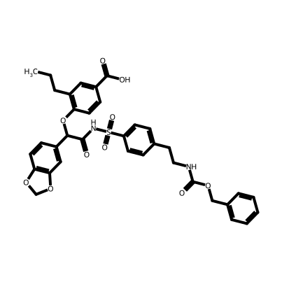 CCCc1cc(C(=O)O)ccc1OC(C(=O)NS(=O)(=O)c1ccc(CCNC(=O)OCc2ccccc2)cc1)c1ccc2c(c1)OCO2